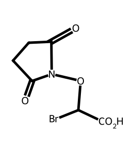 O=C(O)C(Br)ON1C(=O)CCC1=O